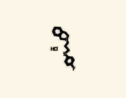 Cl.Fc1ccc(SCCCN2CCc3ccccc3C2)cc1